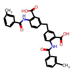 Cc1cccc(C(=O)Nc2ccc(Cc3ccc(NC(=O)c4cccc(C)c4)c(C(=O)O)c3)cc2C(=O)O)c1